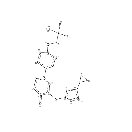 O=c1ccc(-c2cnc(OCC(F)(F)P)nc2)nn1Cc1cc(C2CC2)no1